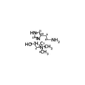 C[N+](C)(C)CCO.NCCc1c[nH]cn1